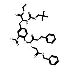 CCOC(=O)[C@H](Cc1ccc(O[C@@H](CCC(=O)OCc2ccccc2)C(=O)OCc2ccccc2)c([N+](=O)[O-])c1)NC(=O)OCC(C)(C)C